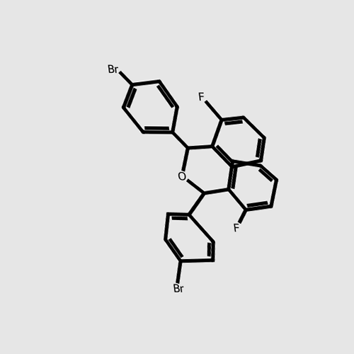 Fc1ccccc1C(OC(c1ccc(Br)cc1)c1ccccc1F)c1ccc(Br)cc1